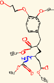 CC(C)(C)OC(=O)N[C@@H](C[C@H](Cc1ccc(OCCO)c(OC(C)(C)C)c1)C(=O)OC(C)(C)C)C(=O)OC(C)(C)C